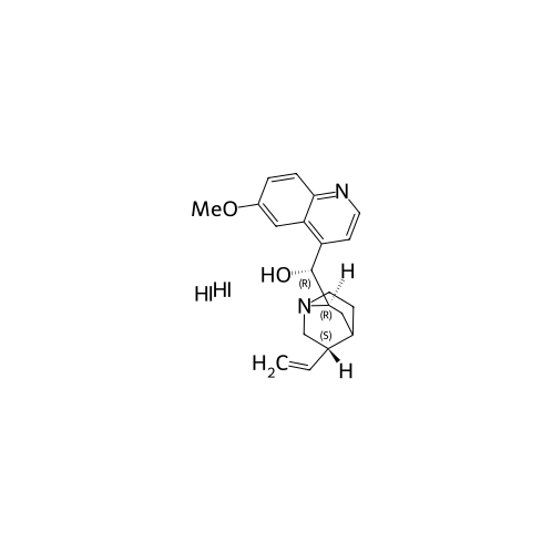 C=C[C@@H]1CN2CCC1C[C@@H]2[C@H](O)c1ccnc2ccc(OC)cc12.I.I